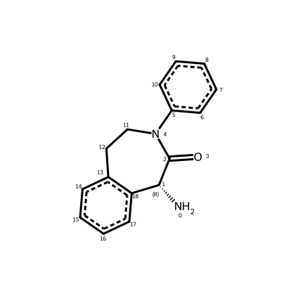 N[C@H]1C(=O)N(c2ccccc2)CCc2ccccc21